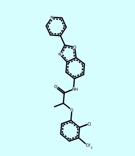 CC(Oc1cccc(C(F)(F)F)c1Cl)C(=O)Nc1ccc2oc(-c3ccncc3)nc2c1